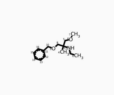 CCNC(C)(COC)COCc1ccccc1